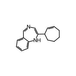 C1=CC(C2=CN=Cc3ccccc3N2)CCCC1